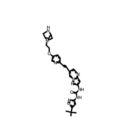 CC(C)(C)c1cc(NC(=O)Nc2cc3ncc(C#Cc4ccc(OCCN5CC6CC5CN6)cn4)cn3n2)no1